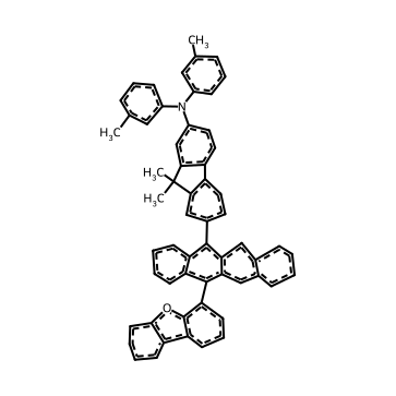 Cc1cccc(N(c2cccc(C)c2)c2ccc3c(c2)C(C)(C)c2cc(-c4c5ccccc5c(-c5cccc6c5oc5ccccc56)c5cc6ccccc6cc45)ccc2-3)c1